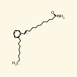 CCCCCCCCc1ccccc1/C=C/CCCCCCCCCC(N)=O